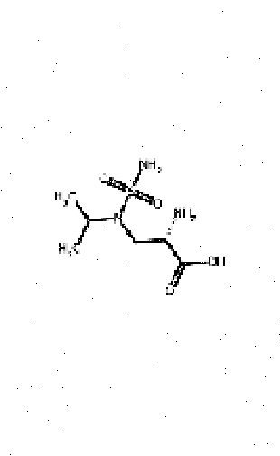 CC(C)N(C[C@H](N)C(=O)O)S(N)(=O)=O